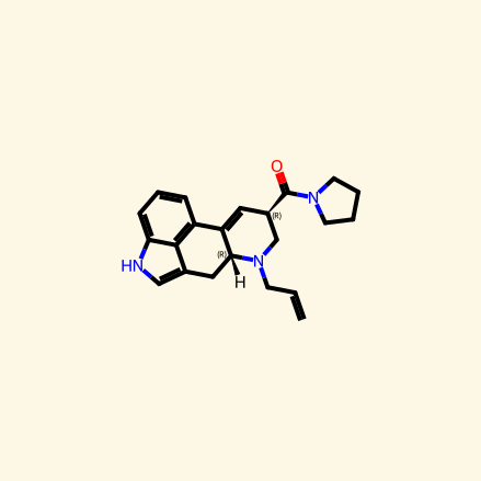 C=CCN1C[C@H](C(=O)N2CCCC2)C=C2c3cccc4[nH]cc(c34)C[C@H]21